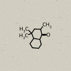 CC1CC(C)(C)C2CCCCC2C1=O